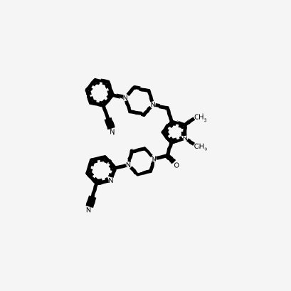 Cc1c(CN2CCN(c3ccccc3C#N)CC2)cc(C(=O)N2CCN(c3cccc(C#N)n3)CC2)n1C